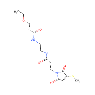 CCOCCC(=O)NCCNC(=O)CCN1C(=O)C=C(SC)C1=O